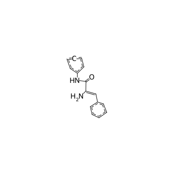 N/C(=C\c1ccccc1)C(=O)Nc1ccccc1